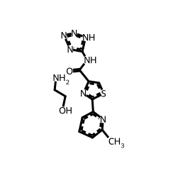 Cc1cccc(-c2nc(C(=O)Nc3nnn[nH]3)cs2)n1.NCCO